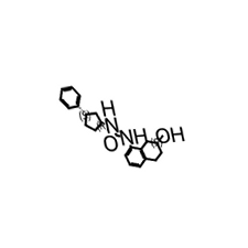 O=C(Nc1cccc2c1C[C@@H](O)CC2)N[C@@H]1CC[C@H](c2ccccc2)C1